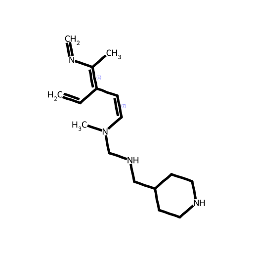 C=CC(/C=C\N(C)CNCC1CCNCC1)=C(/C)N=C